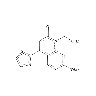 COc1ccc2c(-c3nccs3)cc(=O)n(CC=O)c2c1